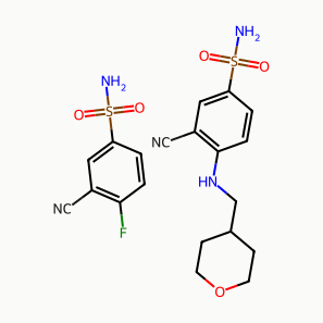 N#Cc1cc(S(N)(=O)=O)ccc1F.N#Cc1cc(S(N)(=O)=O)ccc1NCC1CCOCC1